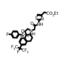 CCOC(=O)Cc1csc(NC(=O)CN2CC[C@]3(S(=O)(=O)c4ccc(F)cc4)c4ccc(C(F)(C(F)(F)F)C(F)(F)F)cc4CC[C@H]23)n1